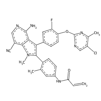 C=CC(=O)Nc1ccc(-c2c(-c3ccc(Oc4ncc(Cl)c(C)n4)c(F)c3)c3c(N)ncc(C#N)c3n2C)c(C)c1